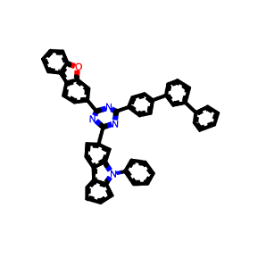 c1ccc(-c2cccc(-c3ccc(-c4nc(-c5ccc6c(c5)oc5ccccc56)nc(-c5ccc6c7ccccc7n(-c7ccccc7)c6c5)n4)cc3)c2)cc1